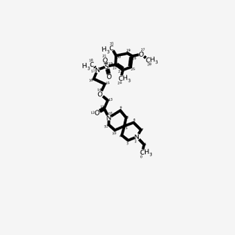 CCN1CCC2(CC1)CCN(C(=O)COCCN(C)S(=O)(=O)C1=C(C)C=C(OC)CC1C)CC2